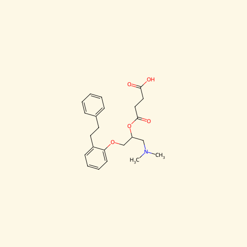 CN(C)CC(COc1ccccc1CCc1ccccc1)OC(=O)CCC(=O)O